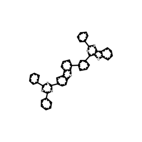 c1ccc(-c2nc(-c3ccccc3)nc(-c3ccc4sc5c(-c6cccc(-c7nc(-c8ccccc8)nc8c7oc7ccccc78)c6)cccc5c4c3)n2)cc1